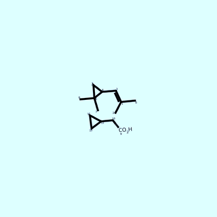 CC(C)=CC1[C]C1(C)C.O=C(O)C[C]1CC1